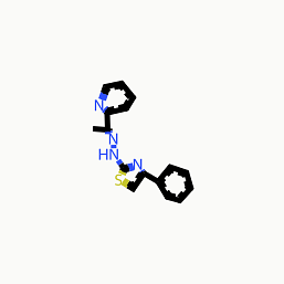 C/C(=N\Nc1nc(-c2ccccc2)cs1)c1ccccn1